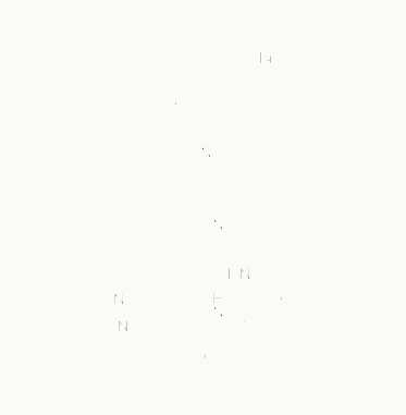 O=C(NC1(C(=O)NCc2ccc(Nc3ccc(Br)cc3C(F)(F)F)cn2)CC1)c1ccnnc1